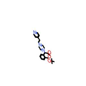 CC(C)(C)OC(=O)c1ccccc1C(C1CO1)N1CCN(CCc2ccncc2)CC1